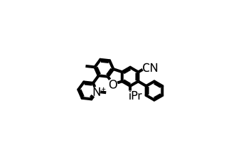 Cc1ccc2c(oc3c(C(C)C)c(-c4ccccc4)c(C#N)cc32)c1-c1cccc[n+]1C